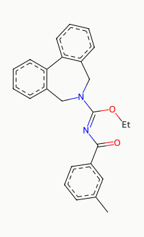 CCOC(=NC(=O)c1cccc(C)c1)N1Cc2ccccc2-c2ccccc2C1